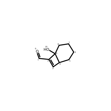 O=CC1=CC2CCCCC12O